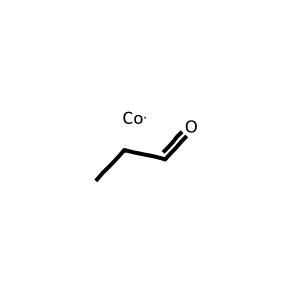 CCC=O.[Co]